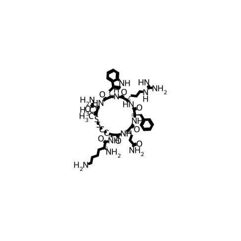 CC1(C)SSCC[C@H](NC(=O)[C@@H](N)CCCCN)C(=O)N[C@@H](CCC(N)=O)C(=O)N[C@H](Cc2ccccc2)C(=O)N[C@@H](CCCNC(=N)N)C(=O)N[C@@H](Cc2c[nH]c3ccccc23)C(=O)N[C@@H]1C(N)=O